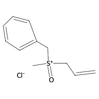 C=CC[S+](C)(=O)Cc1ccccc1.[Cl-]